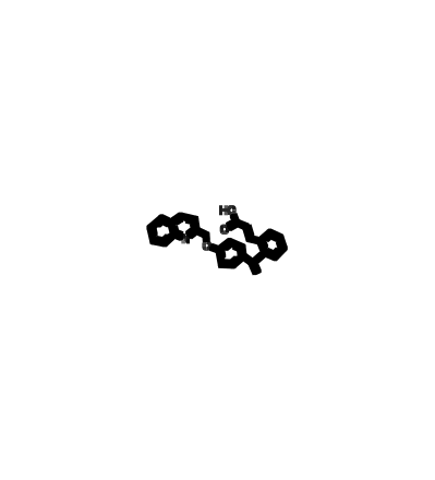 C=C(c1ccc(OCc2ccc3ccccc3n2)cc1)c1ccccc1C=CC(=O)O